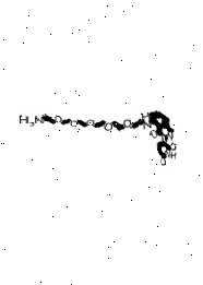 NCCOCCOCCOCCOCCOCCNc1cccc2cnn(C3CCC(=O)NC3=O)c(=O)c12